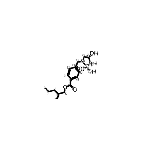 CCCC(C)COC(=O)c1ccc(CN2CC(O)NS2(O)O)cc1